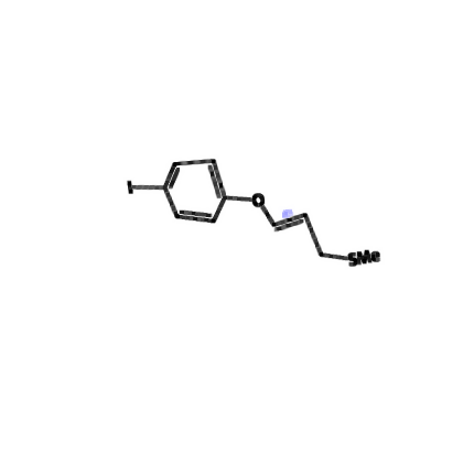 CSC/C=C/Oc1ccc(I)cc1